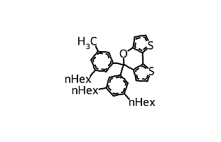 CCCCCCc1cc(C)cc(C2(c3cc(CCCCCC)cc(CCCCCC)c3)Oc3ccsc3-c3sccc32)c1